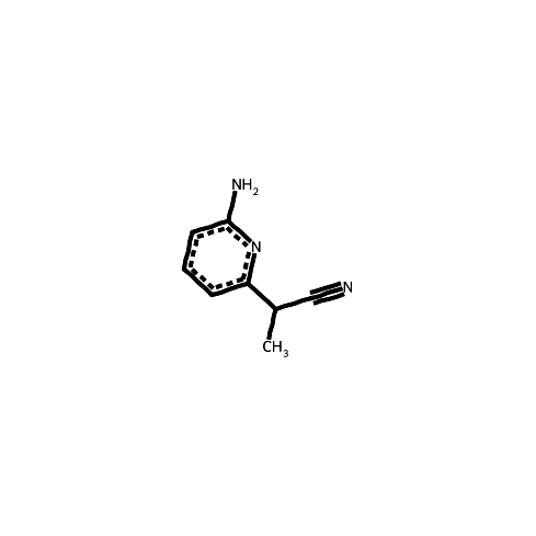 CC(C#N)c1cccc(N)n1